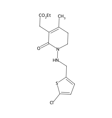 CCOC(=O)CC1=C(C)CCN(NCc2ccc(Cl)s2)C1=O